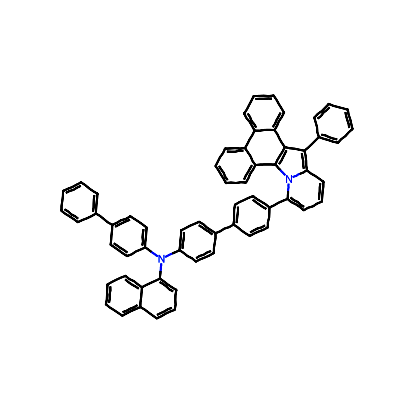 c1ccc(-c2ccc(N(c3ccc(-c4ccc(-c5cccc6c(-c7ccccc7)c7c8ccccc8c8ccccc8c7n56)cc4)cc3)c3cccc4ccccc34)cc2)cc1